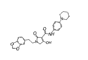 O=C(Nc1ccc(N2CCCCC2)cc1)C1=C(O)CN(CCc2ccc3c(c2)OCO3)C1=O